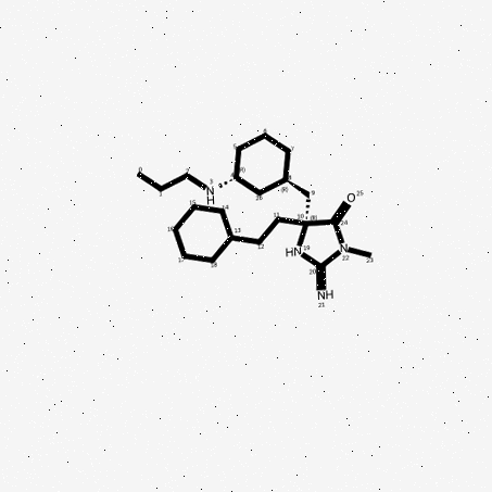 CCCN[C@@H]1CCC[C@@H](C[C@@]2(CCC3CCCCC3)NC(=N)N(C)C2=O)C1